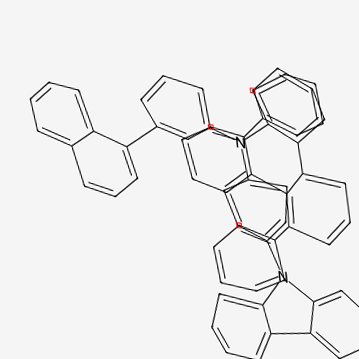 c1ccc(-c2ccccc2-c2c(-c3ccccc3)cccc2-c2ccccc2N(c2ccc(-n3c4ccccc4c4ccccc43)cc2)c2cccc(-c3cccc4ccccc34)c2)cc1